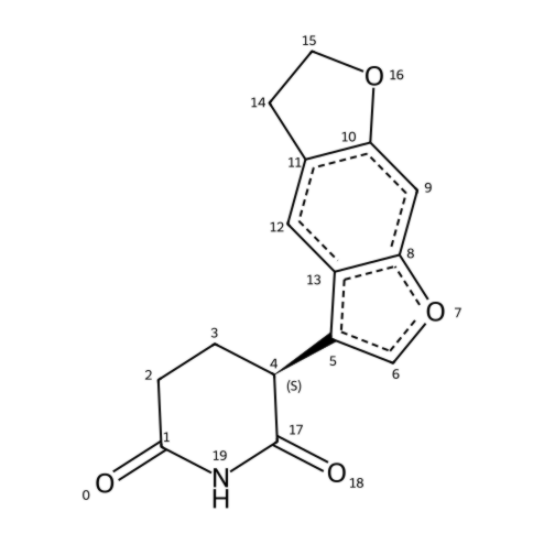 O=C1CC[C@@H](c2coc3cc4c(cc23)CCO4)C(=O)N1